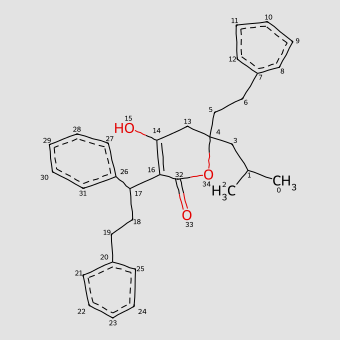 CC(C)CC1(CCc2ccccc2)CC(O)=C(C(CCc2ccccc2)c2ccccc2)C(=O)O1